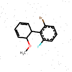 COC1C=CC=CC1c1c(F)cccc1Br